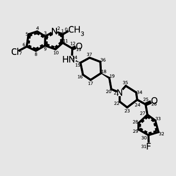 Cc1nc2ccc(Cl)cc2cc1C(=O)N[C@H]1CC[C@H](CCN2CCC(C(=O)c3ccc(F)cc3)CC2)CC1